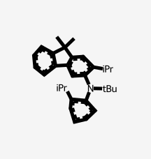 CC(C)c1ccccc1N(c1cc2c(cc1C(C)C)C(C)(C)c1ccccc1-2)C(C)(C)C